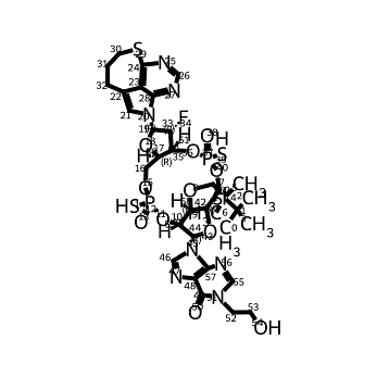 CC(C)(C)[Si](C)(C)CO[C@H]1[C@H]2OP(=O)(S)OC[C@H]3O[C@@H](n4cc5c6c(ncnc64)SCCC5)[C@H](F)[C@@H]3OP(=O)(S)OC[C@H]1O[C@H]2n1cnc2c(=O)n(CCO)cnc21